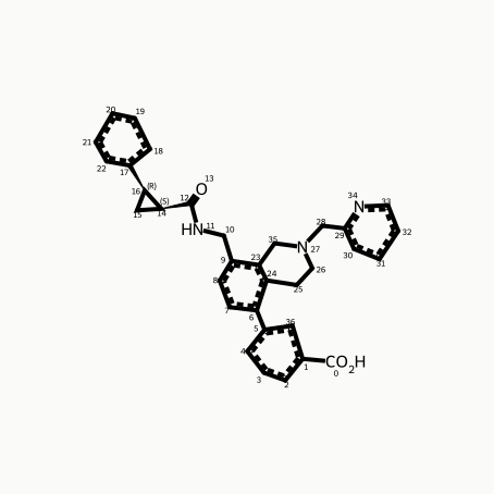 O=C(O)c1cccc(-c2ccc(CNC(=O)[C@H]3C[C@H]3c3ccccc3)c3c2CCN(Cc2ccccn2)C3)c1